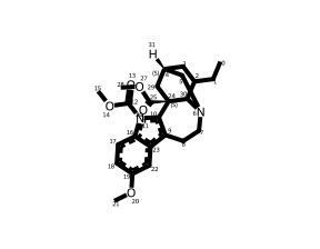 CCC1C[C@@H]2CN3CCc4c(n(C(=O)OC)c5ccc(OC)cc45)[C@](C(=O)OC)(C2)C13